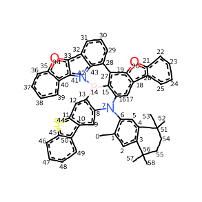 Cc1cc2c(cc1N1c3cc4c(cc3B3c5c1cc1c(oc6ccccc61)c5-c1cccc5c6oc7ccccc7c6n3c15)sc1ccccc14)C(C)(C)CCC2(C)C